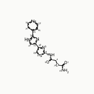 NC(=O)OCC(=O)Nc1nc(-c2c[nH]c(-c3ccncc3)n2)cs1